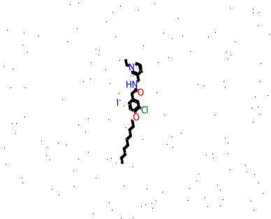 CCCCCCCCCCOc1ccc(CC(=O)NCc2ccc[n+](CC)c2)cc1Cl.[I-]